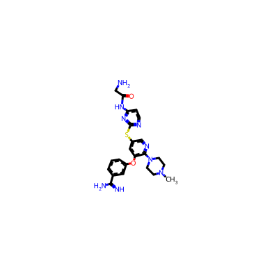 CN1CCN(c2ncc(Sc3nccc(NC(=O)CN)n3)cc2Oc2cccc(C(=N)N)c2)CC1